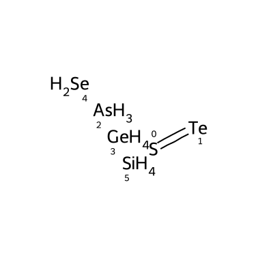 S=[Te].[AsH3].[GeH4].[SeH2].[SiH4]